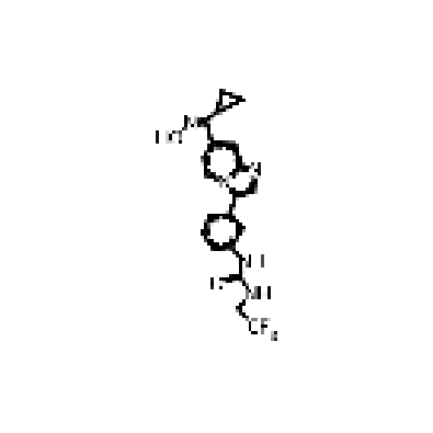 O=C(NCC(F)(F)F)Nc1cccc(-c2cnc3cc(/C(=N\O)C4CC4)ccn23)c1